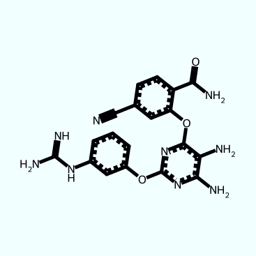 N#Cc1ccc(C(N)=O)c(Oc2nc(Oc3cccc(NC(=N)N)c3)nc(N)c2N)c1